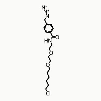 [N-]=[N+]=NCc1ccc(C(=O)NCCOCCOCCCCCCCl)cc1